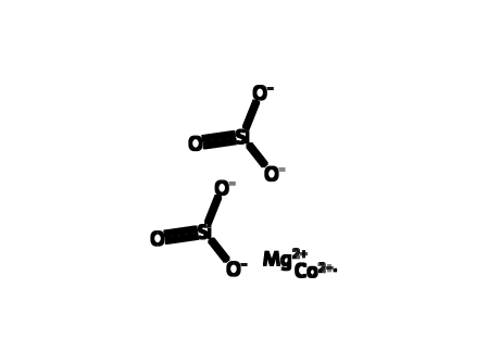 O=[Si]([O-])[O-].O=[Si]([O-])[O-].[Co+2].[Mg+2]